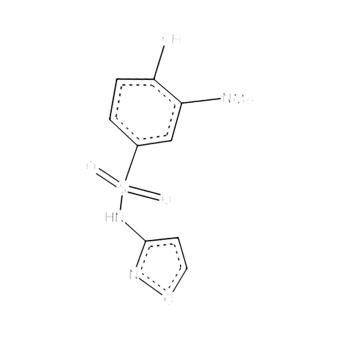 CNc1cc(S(=O)(=O)Nc2ccon2)ccc1C